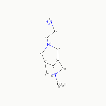 NCCN1CC2CC(C1)CN(C(=O)O)C2